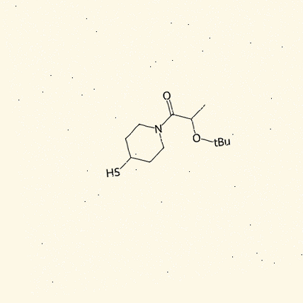 CC(OC(C)(C)C)C(=O)N1CCC(S)CC1